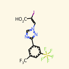 O=C(O)/C(I)=C\n1cnc(-c2cc(C(F)(F)F)cc(S(F)(F)(F)(F)F)c2)n1